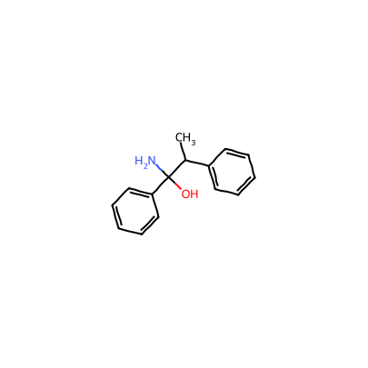 CC(c1ccccc1)C(N)(O)c1ccccc1